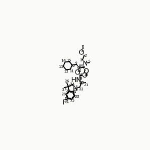 COCCN(C)C(=O)[C@H](CC1CCCCC1)OC(=O)N[C@@H](C)CN1CC(C)(C)c2cc(F)ccc21